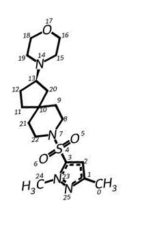 Cc1cc(S(=O)(=O)N2CCC3(CC[C@@H](N4CCOCC4)C3)CC2)n(C)n1